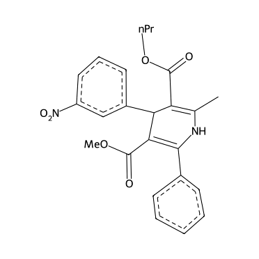 CCCOC(=O)C1=C(C)NC(c2ccccc2)=C(C(=O)OC)C1c1cccc([N+](=O)[O-])c1